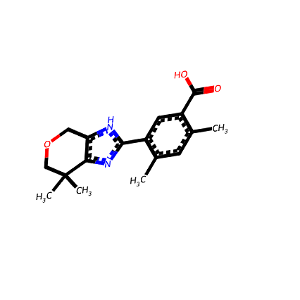 Cc1cc(C)c(-c2nc3c([nH]2)COCC3(C)C)cc1C(=O)O